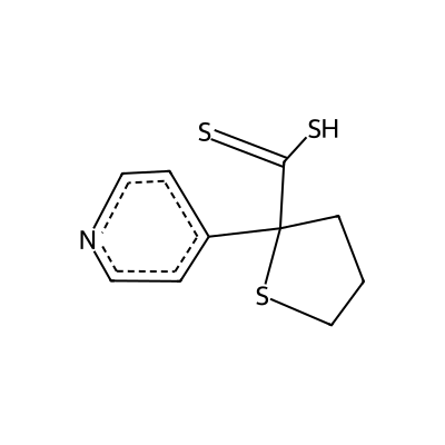 S=C(S)C1(c2ccncc2)CCCS1